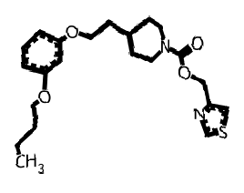 CCCCOc1cccc(OCCC2CCN(C(=O)OCc3cscn3)CC2)c1